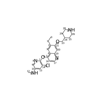 CCc1cc2c(Oc3ncc(NC)cc3Cl)ccnc2cc1OCC1CCNCC1